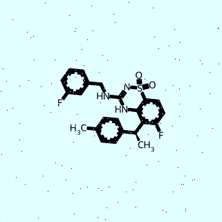 Cc1ccc([C@H](C)c2c(F)ccc3c2NC(NCc2cccc(F)c2)=NS3(=O)=O)cc1